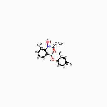 COC(=O)N(O)c1c(COc2ccc(C)cc2C)cccc1C(C)C